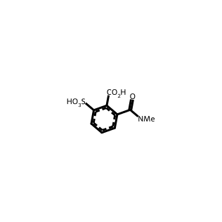 [CH]NC(=O)c1cccc(S(=O)(=O)O)c1C(=O)O